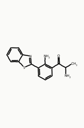 CC(N)C(=O)c1cccc(-c2nc3ccccc3s2)c1N